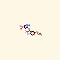 COc1ccc2c(c1)/C(=C/c1cc([N+](=O)[O-])c[nH]1)C(=O)N2